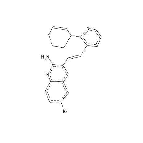 Nc1nc2ccc(Br)cc2cc1C=Cc1cccnc1C1C=CCCC1